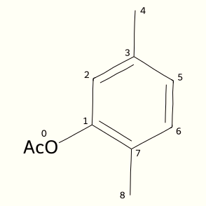 CC(=O)Oc1cc(C)ccc1C